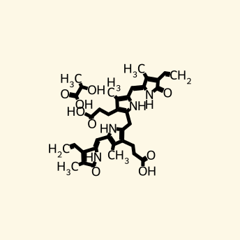 C=CC1=C(C)/C(=C/c2[nH]c(Cc3[nH]c(/C=C4\NC(=O)C(C)=C4C=C)c(C)c3CCC(=O)O)c(CCC(=O)O)c2C)NC1=O.CC(O)C(=O)O